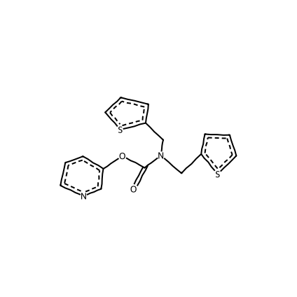 O=C(Oc1cccnc1)N(Cc1cccs1)Cc1cccs1